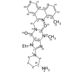 CCn1c(N2CCC[C@@H](N)C2)nc2c1c(=O)n(Cc1nc3c(C)cccc3c3ccccc13)c(=O)n2C